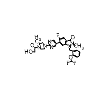 CC1CN(c2ncc(-c3cc4c(cc3F)c(=O)n(C)n4Cc3ccccc3OC(F)F)cn2)CCN1C(=O)CO